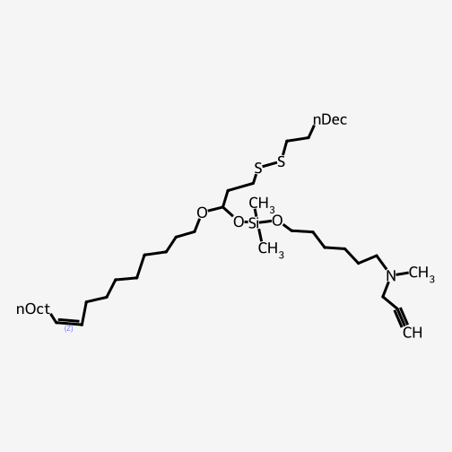 C#CCN(C)CCCCCCO[Si](C)(C)OC(CCSSCCCCCCCCCCCC)OCCCCCCCC/C=C\CCCCCCCC